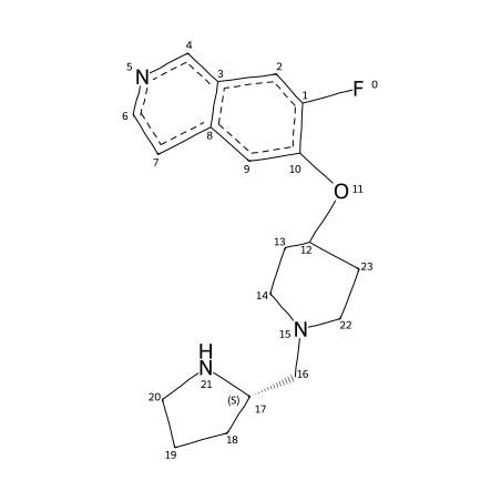 Fc1cc2cnccc2cc1OC1CCN(C[C@@H]2CCCN2)CC1